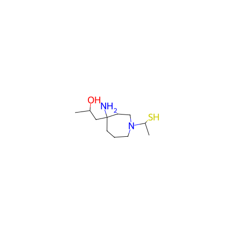 CC(O)CC1(N)CCCN(C(C)S)CC1